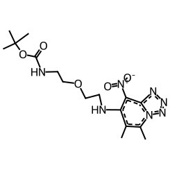 Cc1c(NCCOCCNC(=O)OC(C)(C)C)c([N+](=O)[O-])c2nnnn2c1C